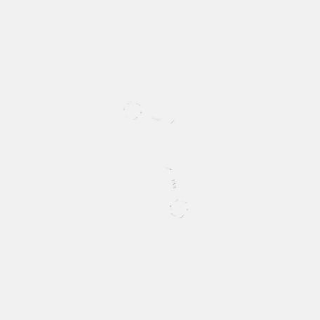 O=C(C#Cc1ccccc1)CO[PH](=O)OCC(=O)C#Cc1ccccc1